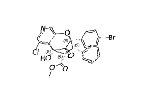 COC(=O)[C@H]1[C@@H](c2ccccc2)[C@]2(c3ccc(Br)cc3)Oc3cncc(Cl)c3[C@@]1(O)C2=O